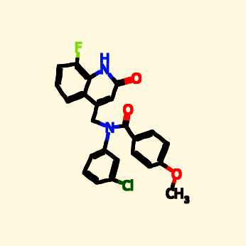 COc1ccc(C(=O)N(Cc2cc(=O)[nH]c3c(F)cccc23)c2cccc(Cl)c2)cc1